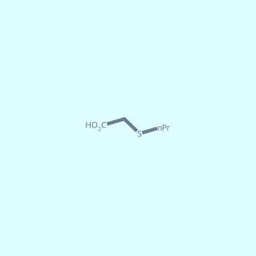 CCCSCC(=O)O